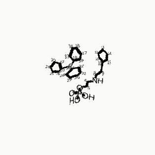 O=P(O)(O)OCCNCCc1ccccc1.c1ccc(P(c2ccccc2)c2ccccc2)cc1